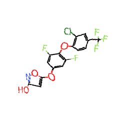 Oc1cc(Oc2cc(F)c(Oc3ccc(C(F)(F)F)cc3Cl)c(F)c2)on1